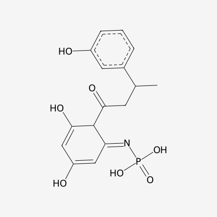 CC(CC(=O)C1C(O)=CC(O)=CC1=NP(=O)(O)O)c1cccc(O)c1